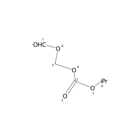 CC(C)OC(=O)OCO[C]=O